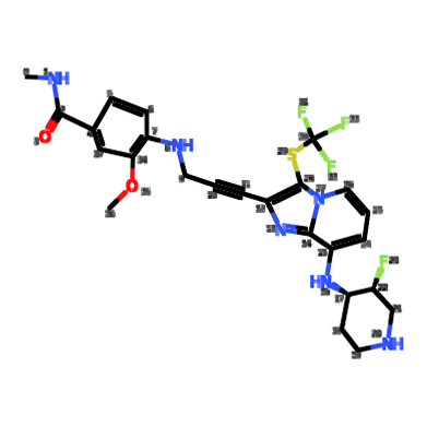 CNC(=O)c1ccc(NCC#Cc2nc3c(N[C@@H]4CCNC[C@@H]4F)cccn3c2SC(F)(F)F)c(OC)c1